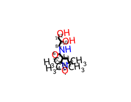 CC1(C)C=C(C(=O)NCC(O)CO)C(C)(C)N1[O]